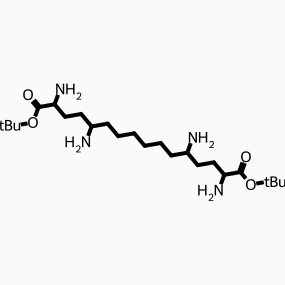 CC(C)(C)OC(=O)C(N)CCC(N)CCCCCCC(N)CCC(N)C(=O)OC(C)(C)C